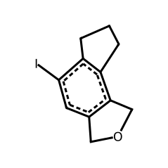 Ic1cc2c(c3c1CCC3)COC2